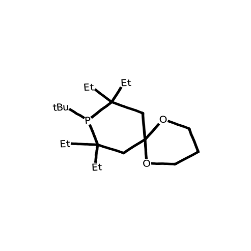 CCC1(CC)CC2(CC(CC)(CC)P1C(C)(C)C)OCCCO2